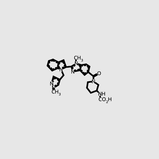 Cn1cc(Cn2c(-c3nc4cc(C(=O)N5CCCC(NC(=O)O)C5)ccc4n3C)cc3ccccc32)cn1